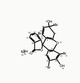 O=C1OC2(C3=C(CC(O)(Br)C=C3)Oc3c2cc(Br)c(O)c3Br)c2c(Br)cccc21.[Na].[Na]